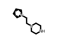 [CH](CN1CCNCC1)n1cccc1